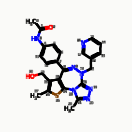 CC(=O)Nc1ccc(C2=NN(Cc3cccnc3)c3nnc(C)n3-c3sc(C)c(CO)c32)cc1